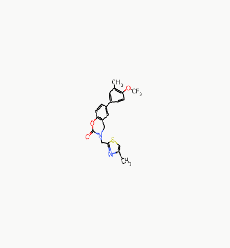 Cc1csc(CN2Cc3cc(-c4ccc(OC(F)(F)F)c(C)c4)ccc3OC2=O)n1